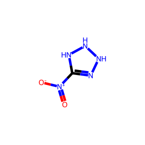 O=[N+]([O-])C1=NNNN1